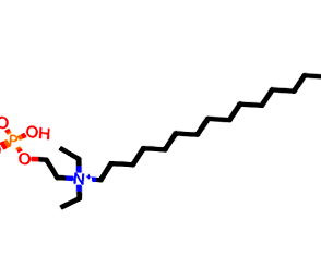 CCCCCCCCCCCCCCCC[N+](CC)(CC)CCOP(=O)(O)O